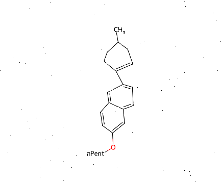 CCCCCOc1ccc2cc(C3=CCC(C)CC3)ccc2c1